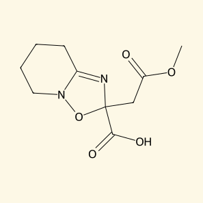 COC(=O)CC1(C(=O)O)N=C2CCCCN2O1